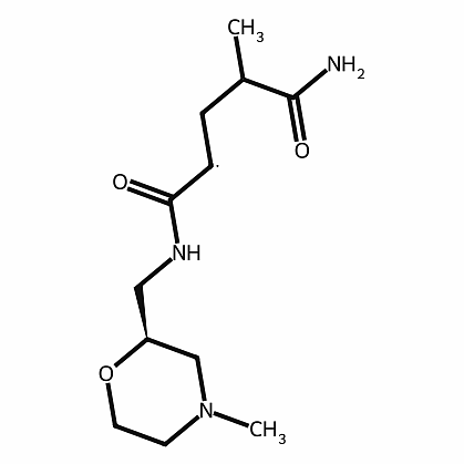 CC(C[CH]C(=O)NC[C@H]1CN(C)CCO1)C(N)=O